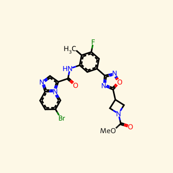 COC(=O)N1CC(c2nc(-c3cc(F)c(C)c(NC(=O)c4cnc5ccc(Br)cn45)c3)no2)C1